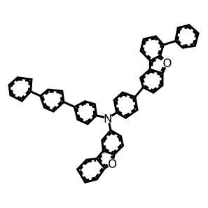 c1ccc(-c2ccc(-c3ccc(N(c4ccc(-c5ccc6oc7c(-c8ccccc8)cccc7c6c5)cc4)c4ccc5oc6ccccc6c5c4)cc3)cc2)cc1